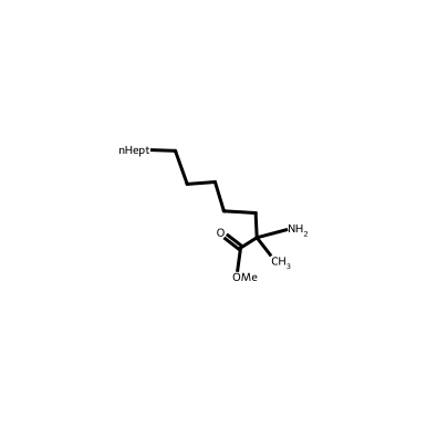 CCCCCCCCCCCCC(C)(N)C(=O)OC